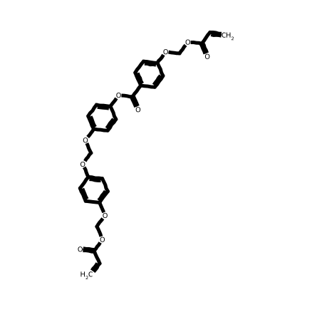 C=CC(=O)OCOc1ccc(OCOc2ccc(OC(=O)c3ccc(OCOC(=O)C=C)cc3)cc2)cc1